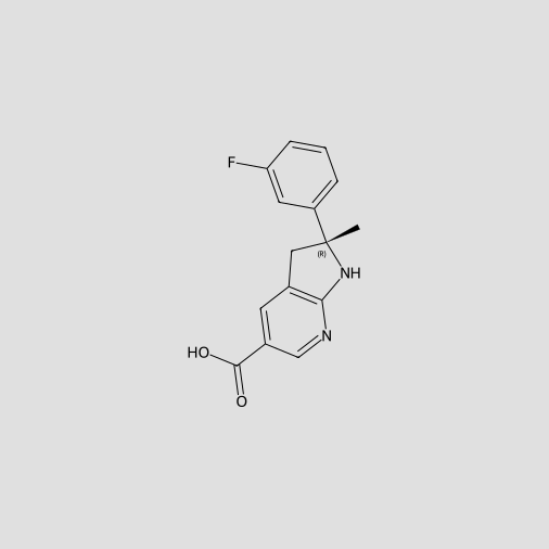 C[C@]1(c2cccc(F)c2)Cc2cc(C(=O)O)cnc2N1